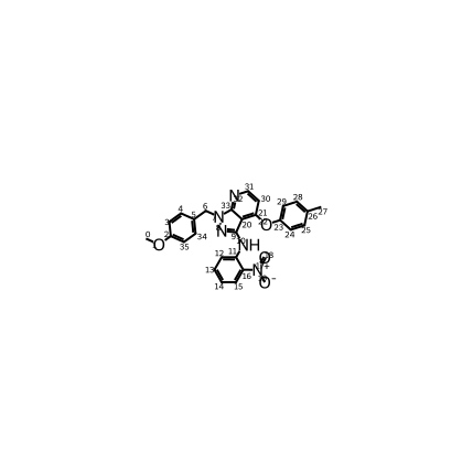 COc1ccc(Cn2nc(Nc3ccccc3[N+](=O)[O-])c3c(Oc4ccc(C)cc4)ccnc32)cc1